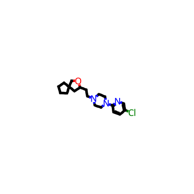 Clc1ccc(N2CCN(CCC3CC4(CCCC4)CO3)CC2)nc1